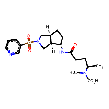 CC(CCC(=O)N[C@H]1CC[C@@H]2CN(S(=O)(=O)c3cccnc3)C[C@@H]21)N(C)C(=O)O